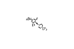 CCCCc1cc(F)c(C#Cc2ccc(C(F)(F)F)cc2)c(CC)c1